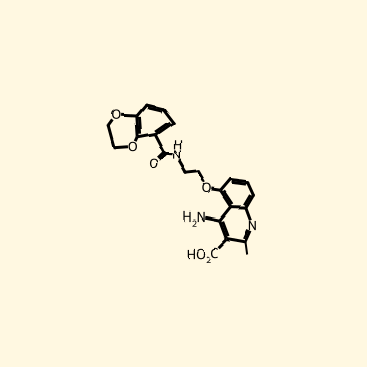 Cc1nc2cccc(OCCNC(=O)c3cccc4c3OCCO4)c2c(N)c1C(=O)O